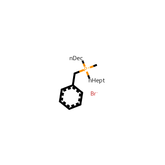 CCCCCCCCCC[P+](C)(CCCCCCC)Cc1ccccc1.[Br-]